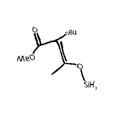 CCCCC(C(=O)OC)=C(C)O[SiH3]